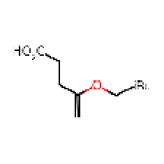 C=C(CCC(=O)O)OCC(C)CC